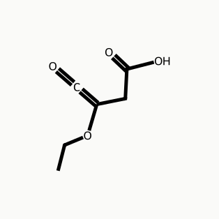 CCOC(=C=O)CC(=O)O